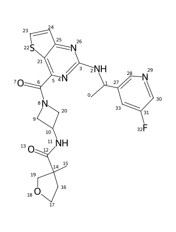 CC(Nc1nc(C(=O)N2CC(NC(=O)C3(C)CCOC3)C2)c2sccc2n1)c1cncc(F)c1